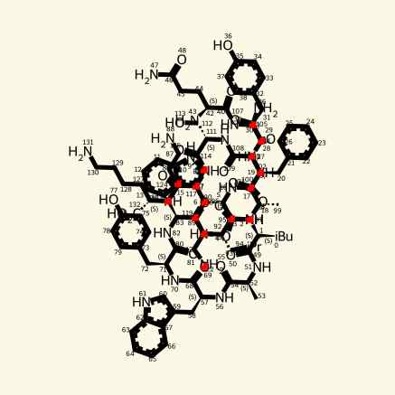 CC[C@H](C)[C@H](NC(=O)[C@H](Cc1c[nH]c2ccccc12)NC(=O)[C@H](Cc1ccccc1)NC(=O)[C@H](Cc1ccc(O)cc1)NC(=O)[C@@H](N)CCC(N)=O)C(=O)N[C@@H](C)C(=O)N[C@@H](Cc1c[nH]c2ccccc12)C(=O)N[C@@H](Cc1ccc(O)cc1)C(=O)N[C@@H](CCCCN)C(=O)N[C@@H](CC(C)C)C(=O)N[C@@H](C)C(=O)N[C@@H](CC(N)=O)C(=O)N[C@@H](CO)C(=O)N[C@@H](CCCCN)C(=O)N[C@@H](CCCCN)C(=O)O